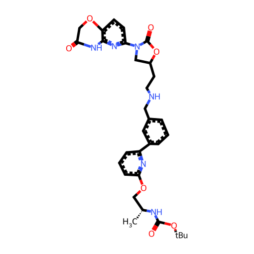 C[C@H](COc1cccc(-c2cccc(CNCCC3CN(c4ccc5c(n4)NC(=O)CO5)C(=O)O3)c2)n1)NC(=O)OC(C)(C)C